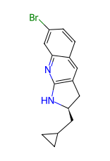 Brc1ccc2cc3c(nc2c1)N[C@H](CC1CC1)C3